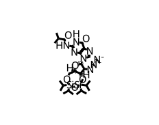 CC(C)C(=O)Nc1nc2c(ncn2[C@@H]2O[C@@H]3CO[Si](C(C)C)(C(C)C)O[Si](C(C)C)(C(C)C)O[C@H]3C2N=[N+]=[N-])c(=O)[nH]1